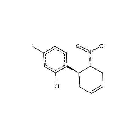 O=[N+]([O-])[C@@H]1CC=CC[C@H]1c1ccc(F)cc1Cl